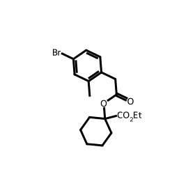 CCOC(=O)C1(OC(=O)Cc2ccc(Br)cc2C)CCCCC1